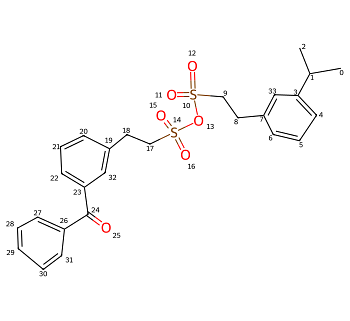 CC(C)c1cccc(CCS(=O)(=O)OS(=O)(=O)CCc2cccc(C(=O)c3ccccc3)c2)c1